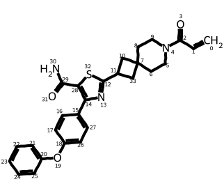 C=CC(=O)N1CCC2(CC1)CC(c1nc(-c3ccc(Oc4ccccc4)cc3)c(C(N)=O)s1)C2